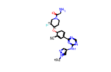 CC(C)(C)n1cc(Nc2ncnc(C3=CCC(O[C@H]4CCN(C(=O)CN)C[C@H]4F)C(C#N)=C3)n2)cn1